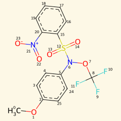 COc1ccc(N(OC(F)(F)F)S(=O)(=O)c2ccccc2[N+](=O)[O-])cc1